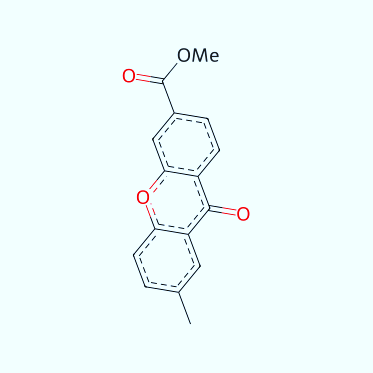 COC(=O)c1ccc2c(=O)c3cc(C)ccc3oc2c1